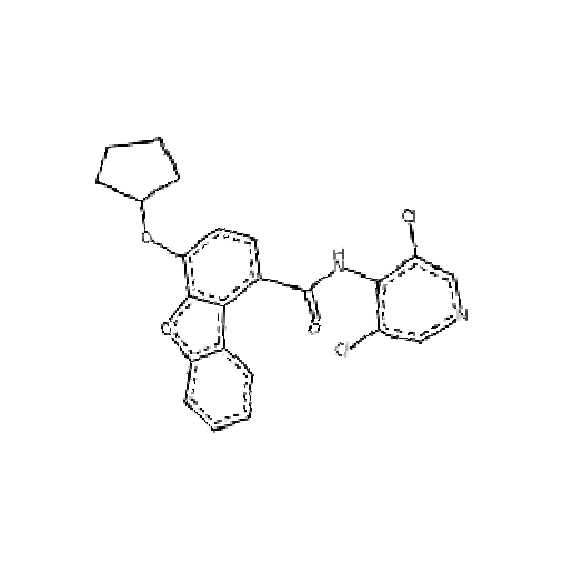 O=C(Nc1c(Cl)cncc1Cl)c1ccc(OC2CCCC2)c2oc3ccccc3c12